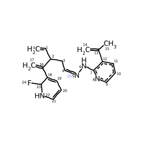 C=CC(C/C=N\Nc1ncccc1C(=C)C)C(=C)C1=CC=CNC1F